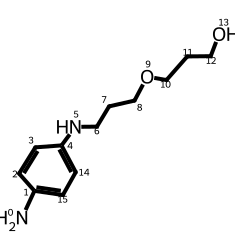 Nc1ccc(NCCCOCCCO)cc1